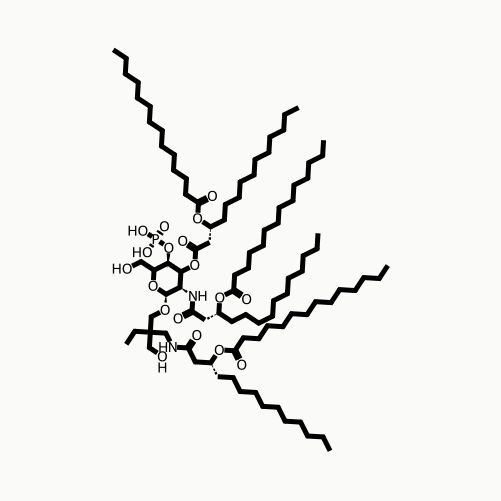 CCCCCCCCCCCCCC(=O)O[C@H](CCCCCCCCCCC)CC(=O)NCC(CC)(CO)CO[C@@H]1OC(CO)[C@@H](OP(=O)(O)O)C(OC(=O)C[C@@H](CCCCCCCCCCC)OC(=O)CCCCCCCCCCCCC)[C@@H]1NC(=O)C[C@@H](CCCCCCCCCCC)OC(=O)CCCCCCCCCCCCC